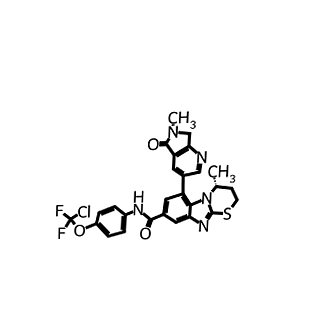 C[C@@H]1CCSc2nc3cc(C(=O)Nc4ccc(OC(F)(F)Cl)cc4)cc(-c4cnc5c(c4)C(=O)N(C)C5)c3n21